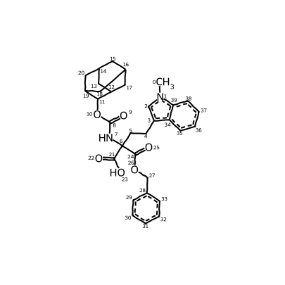 Cn1cc(CCC(NC(=O)OC2C3CC4CC(C3)CC2C4)(C(=O)O)C(=O)OCc2ccccc2)c2ccccc21